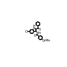 CCCCOc1ccc(C(=O)Nc2c(C(=O)c3ccccc3)[nH]c3cc(Cl)ccc23)cc1